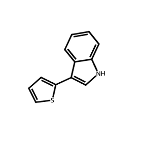 c1csc(-c2c[nH]c3ccccc23)c1